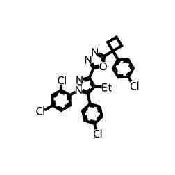 CCc1c(-c2nnc(C3(c4ccc(Cl)cc4)CCC3)o2)nn(-c2ccc(Cl)cc2Cl)c1-c1ccc(Cl)cc1